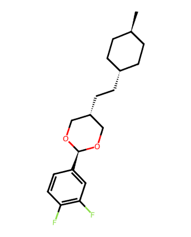 C[C@H]1CC[C@H](CC[C@H]2CO[C@H](c3ccc(F)c(F)c3)OC2)CC1